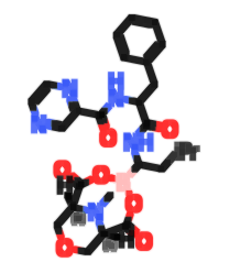 CC(C)CC(NC(=O)C(Cc1ccccc1)NC(=O)c1cnccn1)B1OC(=O)[C@H]2COC[C@@H](C(=O)O1)N2C